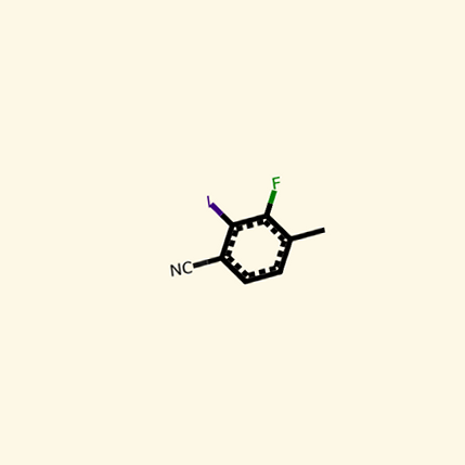 Cc1ccc(C#N)c(I)c1F